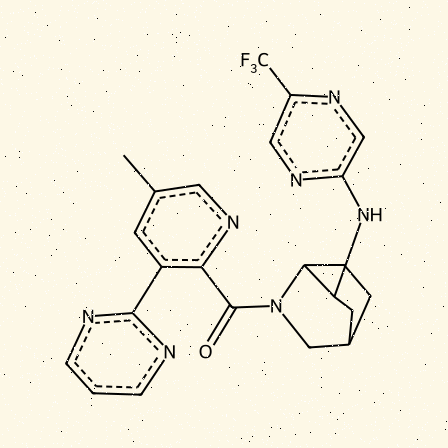 Cc1cnc(C(=O)N2CC3CCC2C(Nc2cnc(C(F)(F)F)cn2)C3)c(-c2ncccn2)c1